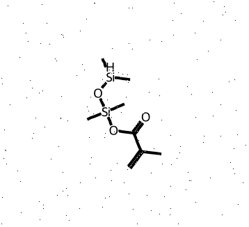 C=C(C)C(=O)O[Si](C)(C)O[SiH](C)C